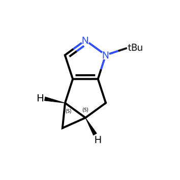 CC(C)(C)n1ncc2c1C[C@@H]1C[C@H]21